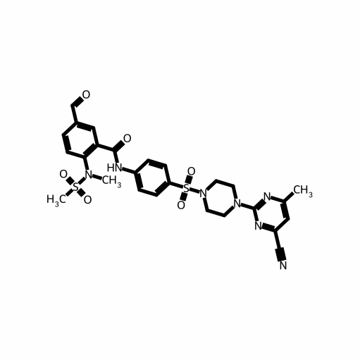 Cc1cc(C#N)nc(N2CCN(S(=O)(=O)c3ccc(NC(=O)c4cc(C=O)ccc4N(C)S(C)(=O)=O)cc3)CC2)n1